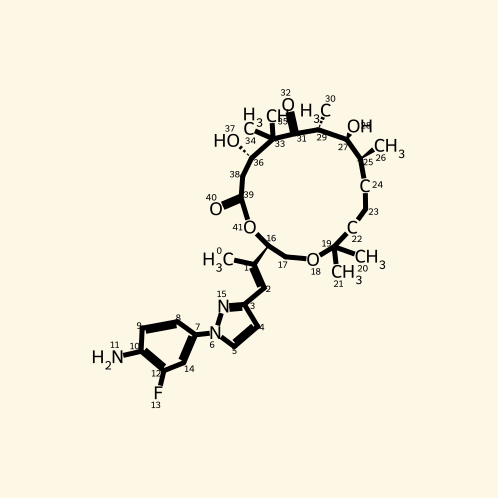 C/C(=C\c1ccn(-c2ccc(N)c(F)c2)n1)[C@@H]1COC(C)(C)CCC[C@H](C)[C@H](O)[C@@H](C)C(=O)C(C)(C)[C@@H](O)CC(=O)O1